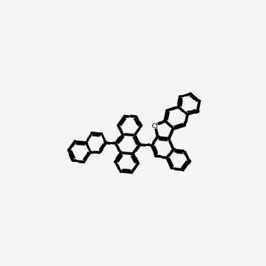 c1ccc2cc(-c3c4ccccc4c(-c4cc5ccccc5c5c4oc4cc6ccccc6cc45)c4ccccc34)ccc2c1